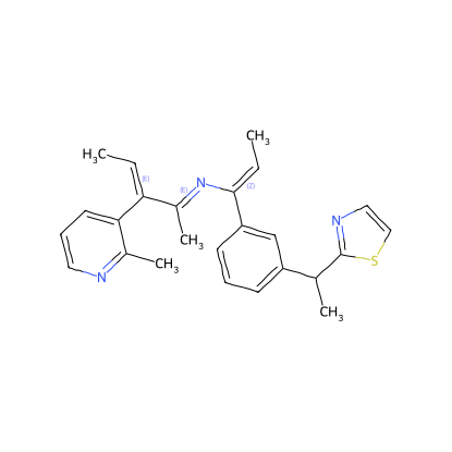 C\C=C(/N=C(C)/C(=C/C)c1cccnc1C)c1cccc(C(C)c2nccs2)c1